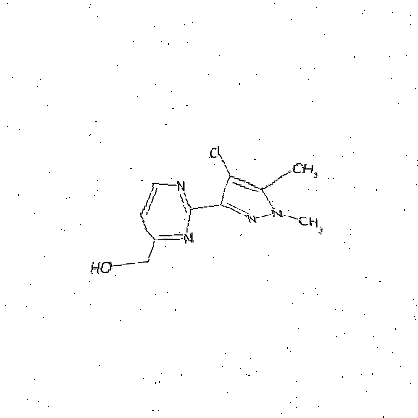 Cc1c(Cl)c(-c2nccc(CO)n2)nn1C